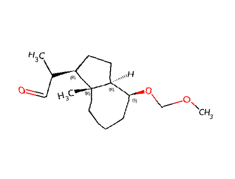 COCO[C@H]1CCC[C@]2(C)[C@@H](C(C)C=O)CC[C@@H]12